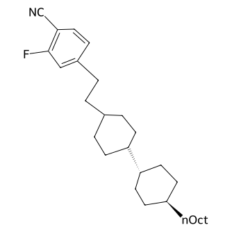 CCCCCCCC[C@H]1CC[C@H](C2CCC(CCc3ccc(C#N)c(F)c3)CC2)CC1